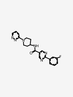 O=C(NC1CCN(c2cccnn2)CC1)c1cnc(-c2cccc(F)c2)nc1